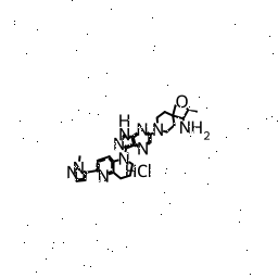 C[C@@H]1OCC2(CCN(c3cnc4c(N5CCCc6nc(-c7ccnn7C)ccc65)n[nH]c4n3)CC2)[C@@H]1N.Cl